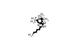 CCCCCC1NC(=O)C2(CC(C)(C)NC(C)(C)C2)O1